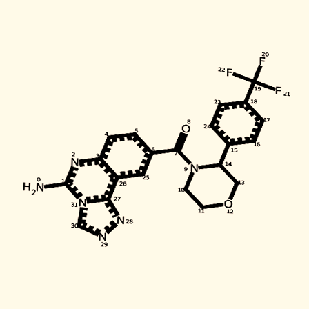 Nc1nc2ccc(C(=O)N3CCOCC3c3ccc(C(F)(F)F)cc3)cc2c2nncn12